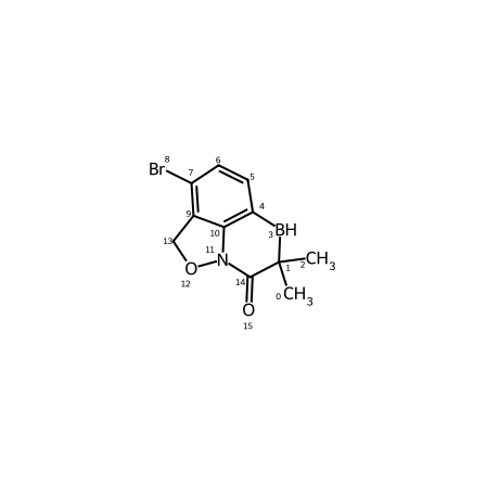 CC1(C)Bc2ccc(Br)c3c2N(OC3)C1=O